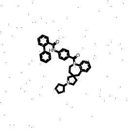 O=C(Nc1ccc(C(=O)N2CCC3(CCN(C4CCCC4)C3)Cc3ccccc32)cc1)c1ccccc1-c1ccccc1